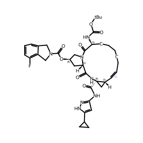 CC(C)(C)OC(=O)N[C@H]1CCCCC/C=C\[C@@H]2C[C@@]2(C(=O)Nc2cc(C3CC3)[nH]n2)NC(=O)[C@@H]2C[C@@H](OC(=O)N3Cc4cccc(F)c4C3)CN2C1=O